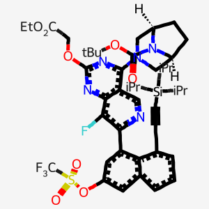 CCOC(=O)COc1nc(N2C[C@H]3CC[C@@H](C2)N3C(=O)OC(C)(C)C)c2cnc(-c3cc(OS(=O)(=O)C(F)(F)F)cc4cccc(C#C[Si](C(C)C)(C(C)C)C(C)C)c34)c(F)c2n1